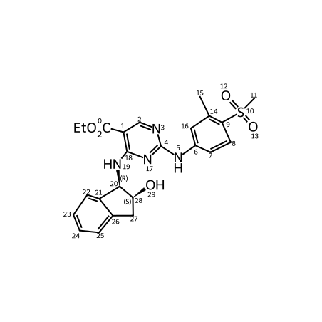 CCOC(=O)c1cnc(Nc2ccc(S(C)(=O)=O)c(C)c2)nc1N[C@@H]1c2ccccc2C[C@@H]1O